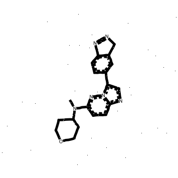 CN(c1ccc2ncc(-c3ccc4c(c3)CN=N4)n2n1)C1CCOCC1